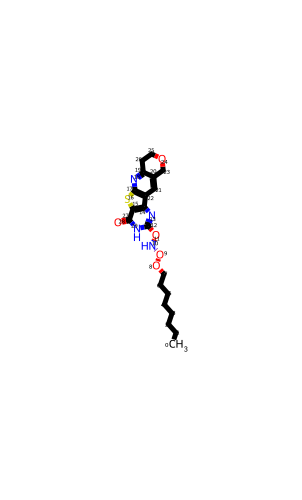 CCCCCCCCOONOc1nc2c(sc3nc4c(cc32)COCC4)c(=O)[nH]1